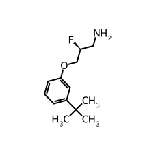 CC(C)(C)c1cccc(OC[C@@H](F)CN)c1